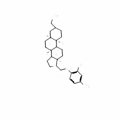 COC[C@@]1(O)CC[C@H]2[C@H](CC[C@@H]3[C@@H]2CC[C@]2(C)[C@@H]([C@@H](C)Nc4ccc(C#N)cc4C)CC[C@@H]32)C1